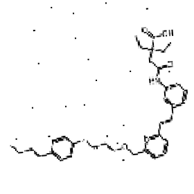 CCCCc1ccc(CCCCOCc2cccc(C=Cc3cccc(NC(=O)CC(CC)(CC)C(=O)O)c3)n2)cc1